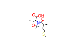 CSCC[C@H](C)C(=O)N1[C@H](C(=O)O)[C@@H](C)OC1(C)C